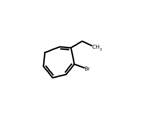 CCC1=CCC=CC=C1Br